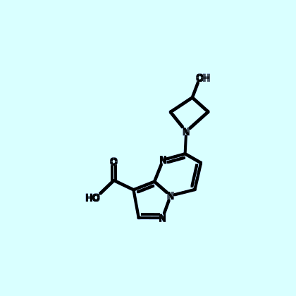 O=C(O)c1cnn2ccc(N3CC(O)C3)nc12